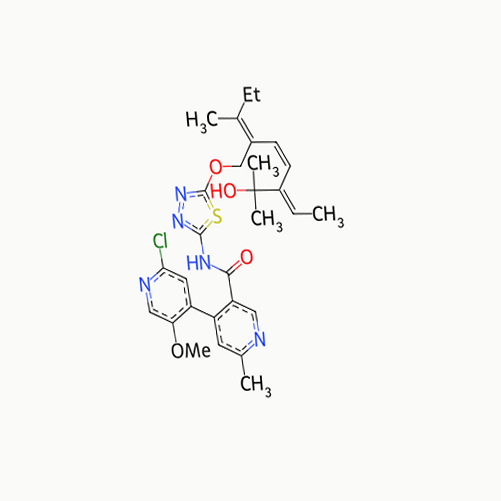 C\C=C(/C=C\C(COc1nnc(NC(=O)c2cnc(C)cc2-c2cc(Cl)ncc2OC)s1)=C(\C)CC)C(C)(C)O